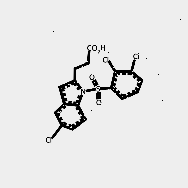 O=C(O)CCc1cc2cc(Cl)ccc2n1S(=O)(=O)c1cccc(Cl)c1Cl